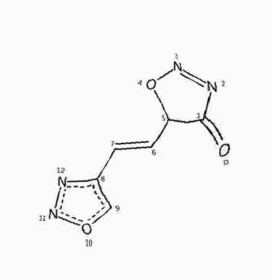 O=C1N=NOC1C=Cc1conn1